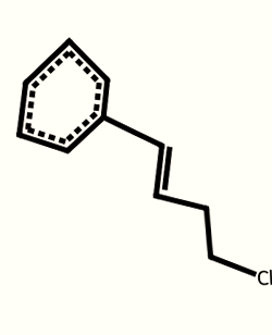 ClCC/C=C/c1ccccc1